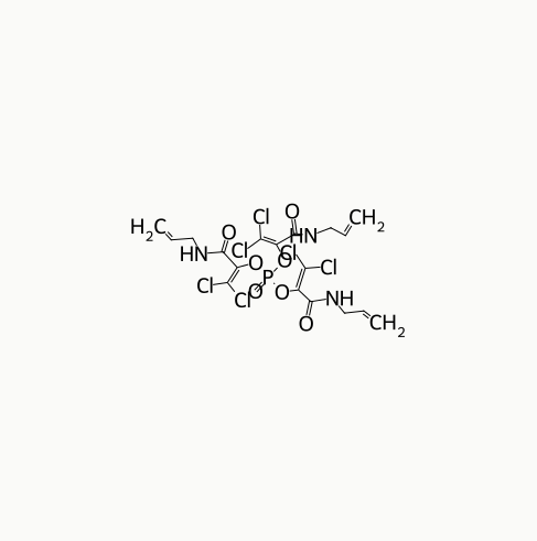 C=CCNC(=O)C(OP(=O)(OC(C(=O)NCC=C)=C(Cl)Cl)OC(C(=O)NCC=C)=C(Cl)Cl)=C(Cl)Cl